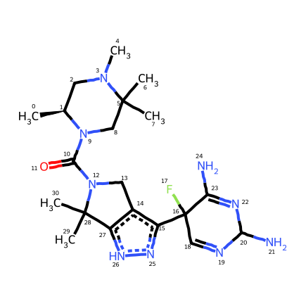 C[C@H]1CN(C)C(C)(C)CN1C(=O)N1Cc2c(C3(F)C=NC(N)N=C3N)n[nH]c2C1(C)C